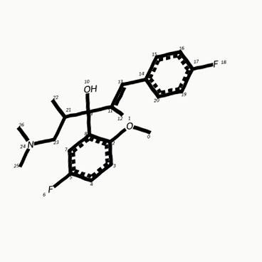 COc1ccc(F)cc1C(O)(C(C)=Cc1ccc(F)cc1)C(C)CN(C)C